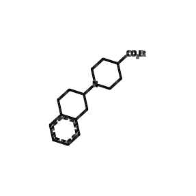 CCOC(=O)C1CCN(C2CCc3ccccc3C2)CC1